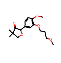 COCCCOc1cc(C2OCC(C)(C)C2=O)ccc1OC